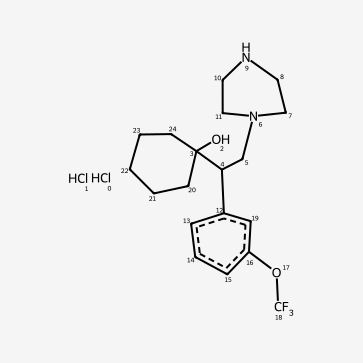 Cl.Cl.OC1(C(CN2CCNCC2)c2cccc(OC(F)(F)F)c2)CCCCC1